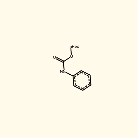 CCCCCCOC(=O)Nc1ccccc1